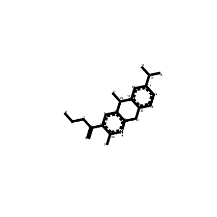 C=C(CCC)c1cc2c(nc1C)Cc1ccc(C(C)C)cc1C2C